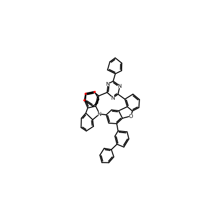 c1ccc(-c2cccc(-c3cc(-n4c5ccccc5c5ccccc54)cc4c3oc3cccc(-c5nc(-c6ccccc6)nc(-c6ccccc6)n5)c34)c2)cc1